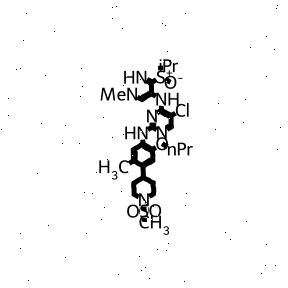 CCCOc1cc(C2CCN(S(C)(=O)=O)CC2)c(C)cc1Nc1ncc(Cl)c(N/C(=C/NC)C(=N)[S+]([O-])C(C)C)n1